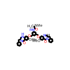 CNC(C)C(=O)Nc1cc(COc2cc3c(cc2OC)C(=O)N2c4ccccc4C[C@H]2C=N3)cc(COc2cc3c(cc2OC)C(=O)N2c4ccccc4CC2CN3)c1